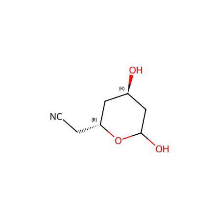 N#CC[C@@H]1C[C@@H](O)CC(O)O1